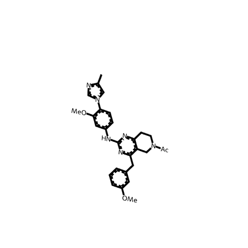 COc1cccc(Cc2nc(Nc3ccc(-n4cnc(C)c4)c(OC)c3)nc3c2CN(C(C)=O)CC3)c1